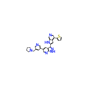 c1csc(-c2cncc3[nH]c(-c4n[nH]c5ncc(-c6cncc(CN7CCCC7)c6)cc45)cc23)c1